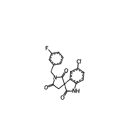 O=C1CC2(C(=O)Nc3ccc(Cl)cc32)C(=O)N1Cc1cccc(F)c1